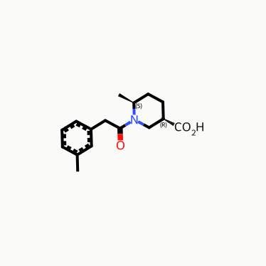 Cc1cccc(CC(=O)N2C[C@H](C(=O)O)CC[C@@H]2C)c1